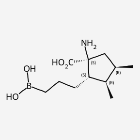 C[C@@H]1[C@H](C)C[C@@](N)(C(=O)O)[C@H]1CCCB(O)O